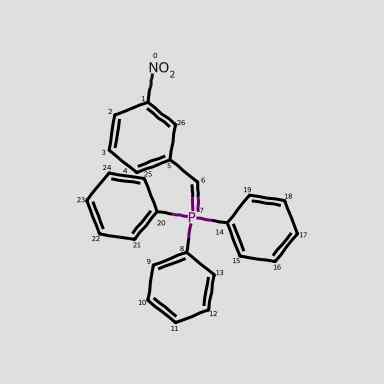 O=[N+]([O-])c1cccc(C=P(c2ccccc2)(c2ccccc2)c2ccccc2)c1